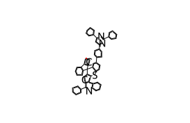 c1ccc(-c2cc(-c3ccc(-c4ccc5c(c4)C4(c6ccccc6-c6ccccc64)c4ccc6c(-c7ccccc7)nc7ccccc7c6c4S5)cc3)nc(-c3ccccc3)n2)cc1